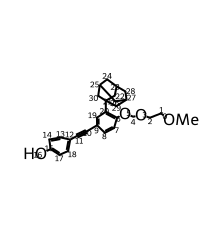 COCCOCOc1ccc(C#Cc2ccc(O)cc2)cc1C12CC3CC(CC(C3)C1)C2